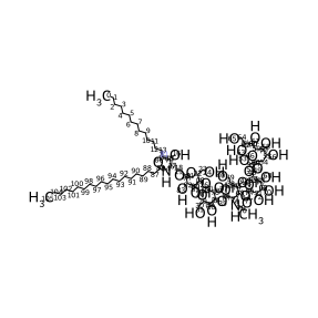 CCCCCCCCCCCCC/C=C/[C@@H](O)[C@H](CO[C@@H]1OC(CO)[C@@H](O[C@@H]2OC(CO)[C@H](O)[C@H](O[C@@H]3OC(CO)[C@@H](O)[C@H](O[C@@H]4OC(CO[C@]5(C(=O)O)CC(O)[C@@H](O)C([C@H](O)[C@H](O)CO)O5)[C@H](O)[C@H](O)C4O)C3NC(C)=O)C2O)[C@H](O)C1O)NC(=O)CCCCCCCCCCCCCCCCCCC